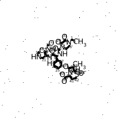 CCN1CCN(C(=O)NC(C(=O)NC2=C(NC=O)[C+]=CNC2)c2ccccc2)C(=O)C1=O.C[C@H]1C(=O)N2C(C(=O)[O-])=CC[S+]([O-])[C@@H]12